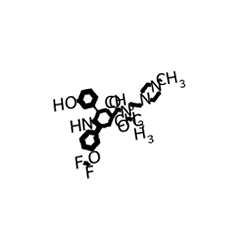 CC(=O)N(CCN1CCN(C)CC1)C(=O)[C@]1(C)Cc2c([nH]c3ccc(OC(F)F)cc23)[C@@H](c2cccc(O)c2)C1C